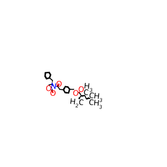 C=C/C(C(=O)OCc1ccc(CC(=O)N2C(=O)OC[C@H]2Cc2ccccc2)cc1)=C(/C)C=C(C)C